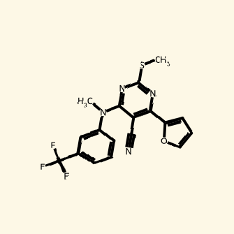 CSc1nc(-c2ccco2)c(C#N)c(N(C)c2cccc(C(F)(F)F)c2)n1